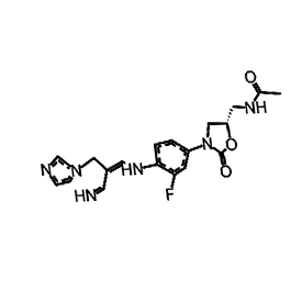 CC(=O)NC[C@H]1CN(c2ccc(N/C=C(\C=N)Cn3ccnc3)c(F)c2)C(=O)O1